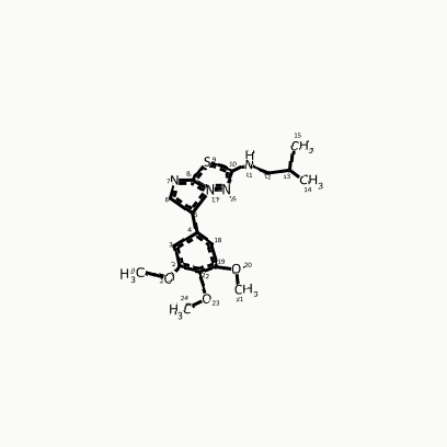 COc1cc(-c2cnc3sc(NCC(C)C)nn23)cc(OC)c1OC